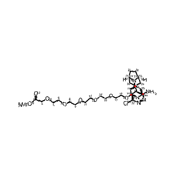 COC(=O)COCCOCCOCCOCCOCCOc1cc(N2[C@@H]3CC[C@H]2CN(c2cc(Cl)nnc2N)C3)ccn1